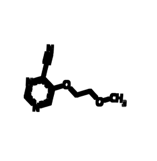 COCCOc1cncnc1C#N